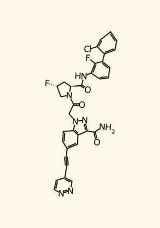 NC(=O)c1nn(CC(=O)N2C[C@H](F)C[C@H]2C(=O)Nc2cccc(-c3ccccc3Cl)c2F)c2ccc(C#Cc3ccnnc3)cc12